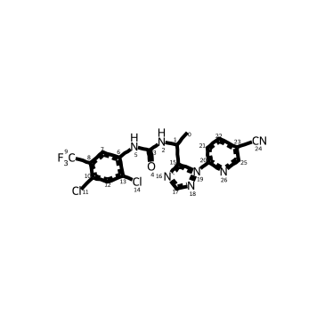 CC(NC(=O)Nc1cc(C(F)(F)F)c(Cl)cc1Cl)c1ncnn1-c1ccc(C#N)cn1